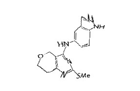 CSc1nc2c(c(Nc3ccc4[nH]ncc4c3)n1)COCC2